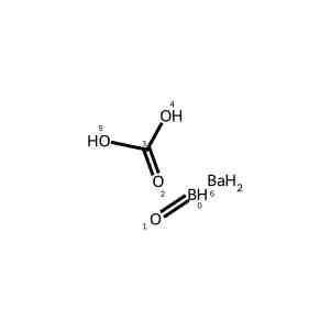 B=O.O=C(O)O.[BaH2]